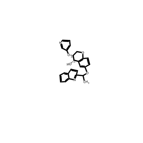 CC(Oc1ccc2c(c1)[C@H](O)[C@H](Oc1cccnc1)CO2)c1ccc2ccccc2n1